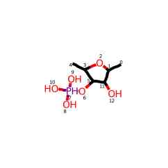 CC1OC(C)C(O[PH](O)(O)O)C1O